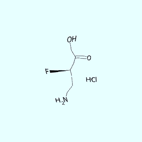 Cl.NC[C@@H](F)C(=O)O